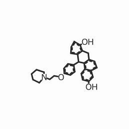 Oc1ccc2c3c(ccc2c1)Cc1c(O)cccc1C3c1ccc(OCCN2CCCCC2)cc1